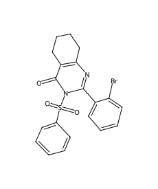 O=c1c2c(nc(-c3ccccc3Br)n1S(=O)(=O)c1ccccc1)CCCC2